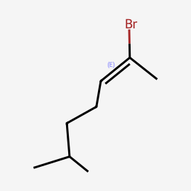 C/C(Br)=C\CCC(C)C